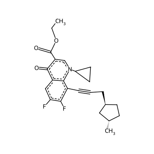 CCOC(=O)c1cn(C2CC2)c2c(C#CC[C@H]3CC[C@H](C)C3)c(F)c(F)cc2c1=O